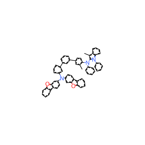 Cc1cc(-c2cccc(-c3cccc(N(c4ccc5c(c4)oc4ccccc45)c4ccc5c(c4)oc4ccccc45)c3)c2)ccc1N(c1ccccc1)c1c(C)c2ccccc2n1-c1ccccc1